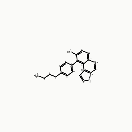 NCCCc1ccc(-c2c(O)ccc3ncc4sccc4c23)cc1